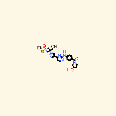 CCS(=O)(=O)N1CC(CC#N)(n2cc(-c3ccnc(Nc4ccc(C(=O)N5CCC(O)C5)cc4)n3)cn2)C1